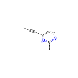 CC#Cc1ccnc(C)n1